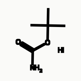 CC(C)(C)OC(N)=O.I